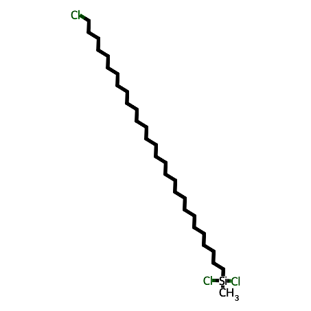 C[Si](Cl)(Cl)CCCCCCCCCCCCCCCCCCCCCCCCCCCCCCl